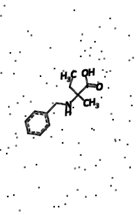 CCC(C)(NCc1ccccc1)C(=O)O